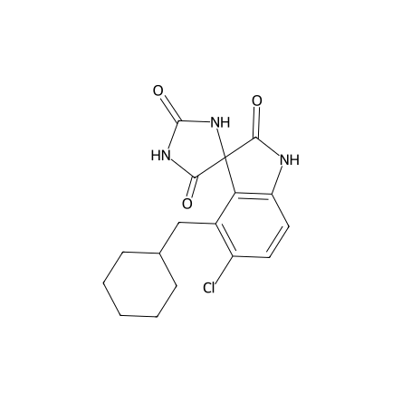 O=C1NC(=O)C2(N1)C(=O)Nc1ccc(Cl)c(CC3CCCCC3)c12